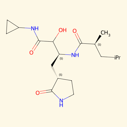 CC(C)C[C@H](C)C(=O)N[C@@H](C[C@@H]1CCNC1=O)C(O)C(=O)NC1CC1